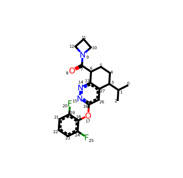 CC(C)C1CCC(C(=O)N2CCC2)c2nnc(Oc3c(F)cccc3F)cc21